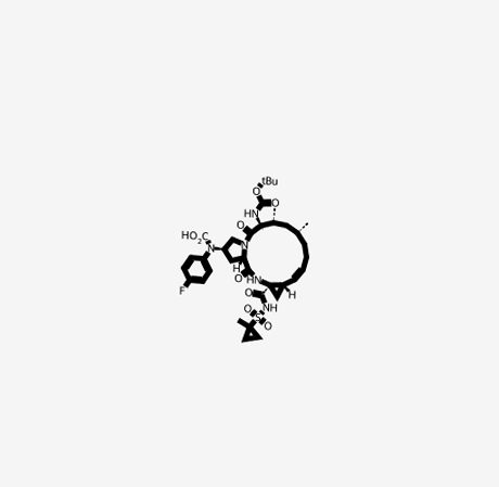 C[C@@H]1CCC=C[C@@H]2C[C@@]2(C(=O)NS(=O)(=O)C2(C)CC2)NC(=O)[C@@H]2C[C@@H](N(C(=O)O)c3ccc(F)cc3)CN2C(=O)[C@@H](NC(=O)OC(C)(C)C)[C@H](C)C1